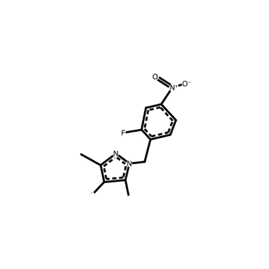 [CH2]c1c(C)nn(Cc2ccc([N+](=O)[O-])cc2F)c1C